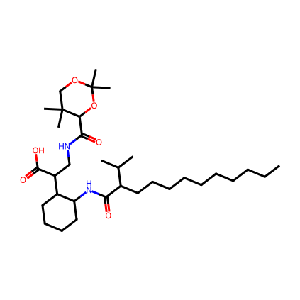 CCCCCCCCCCC(C(=O)NC1CCCCC1C(CNC(=O)C1OC(C)(C)OCC1(C)C)C(=O)O)C(C)C